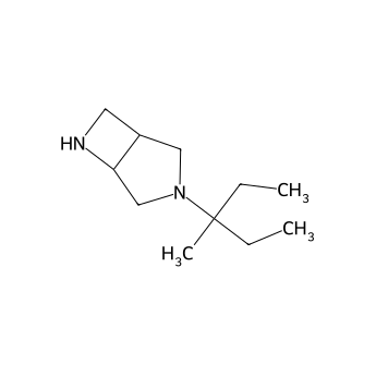 CCC(C)(CC)N1CC2CNC2C1